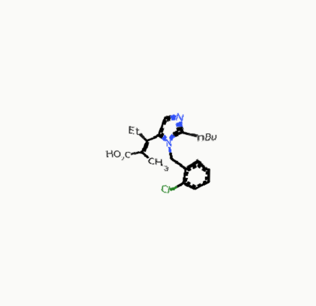 CCCCc1ncc(C(CC)=C(C)C(=O)O)n1Cc1ccccc1Cl